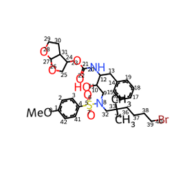 COc1ccc(S(=O)(=O)N(CC(O)C(Cc2ccccc2)NC(=O)OC2COC3OCCC23)CC(C)(C)CCCCBr)cc1